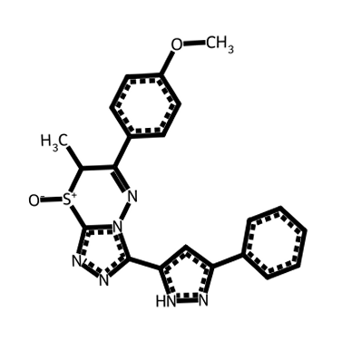 COc1ccc(C2=Nn3c(-c4cc(-c5ccccc5)n[nH]4)nnc3[S+]([O-])C2C)cc1